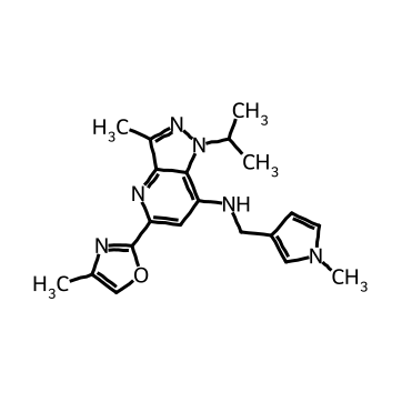 Cc1coc(-c2cc(NCc3ccn(C)c3)c3c(n2)c(C)nn3C(C)C)n1